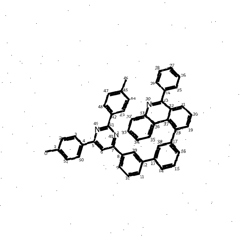 Cc1ccc(-c2cc(-c3cccc(-c4cccc(-c5cccc6c(-c7ccccc7)nc7ccccc7c56)c4)c3)nc(-c3ccc(C)cc3)n2)cc1